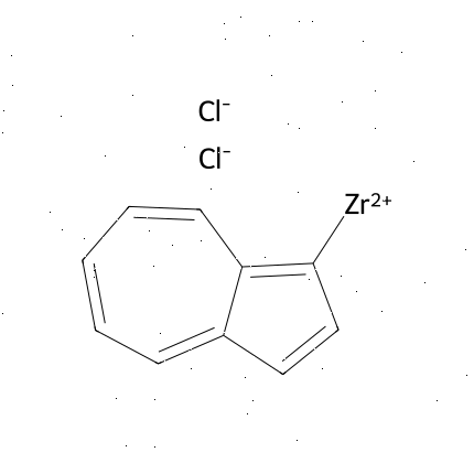 [Cl-].[Cl-].[Zr+2][c]1ccc2cccccc1-2